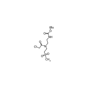 CC(C)(C)OC(=O)NCCN(CCS(C)(=O)=O)C(=O)CCl